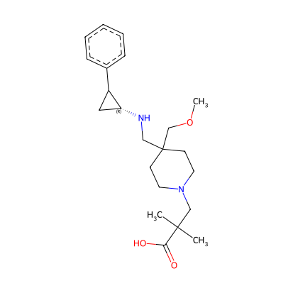 COCC1(CN[C@@H]2CC2c2ccccc2)CCN(CC(C)(C)C(=O)O)CC1